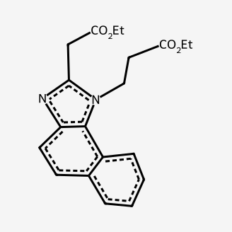 CCOC(=O)CCn1c(CC(=O)OCC)nc2ccc3ccccc3c21